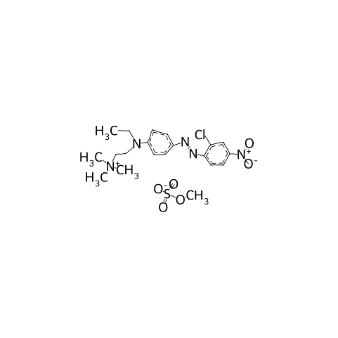 CCN(CC[N+](C)(C)C)c1ccc(/N=N/c2ccc([N+](=O)[O-])cc2Cl)cc1.COS(=O)(=O)[O-]